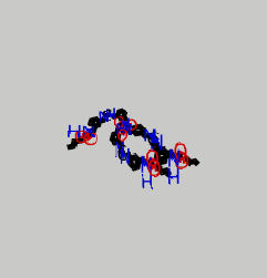 CCCCOC(=O)NCc1cccc(CN=C=NCc2cccc(Cn3c(=O)n(Cc4cccc(CN=C=NCc5cccc(CNC(=O)OCCCC)c5)c4)c(=O)n(Cc4cccc(CN=C=NCc5cccc(CNC(=O)OCCCC)c5)c4)c3=O)c2)c1